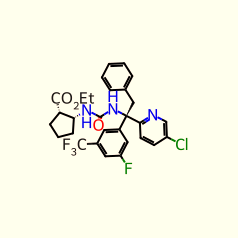 CCOC(=O)[C@H]1CCC[C@H]1NC(=O)N[C@@](Cc1ccccc1)(c1cc(F)cc(C(F)(F)F)c1)c1ccc(Cl)cn1